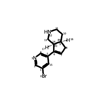 Brc1cncc(C2=CC[C@@H]3CCNC[C@H]23)c1